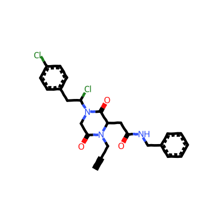 C#CCN1C(=O)CN(C(Cl)Cc2ccc(Cl)cc2)C(=O)C1CC(=O)NCc1ccccc1